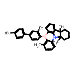 CCc1cc(-c2ccc(C(C)(C)C)cc2)ccc1B1c2cccc3c2N(c2cccc(C)c21)C1(C)CCCCC31C